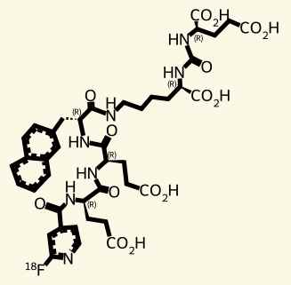 O=C(O)CC[C@@H](NC(=O)N[C@H](CCCCNC(=O)[C@@H](Cc1ccc2ccccc2c1)NC(=O)[C@@H](CCC(=O)O)NC(=O)[C@@H](CCC(=O)O)NC(=O)c1ccnc([18F])c1)C(=O)O)C(=O)O